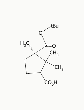 CC(C)(C)OC(=O)[C@]1(C)CCC(C(=O)O)C1(C)C